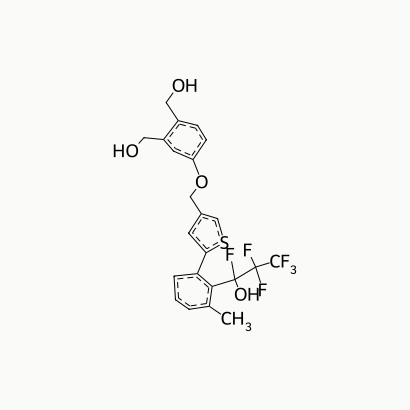 Cc1cccc(-c2cc(COc3ccc(CO)c(CO)c3)cs2)c1C(O)(F)C(F)(F)C(F)(F)F